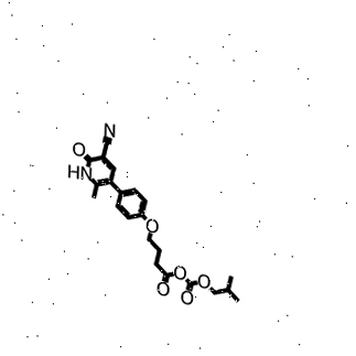 Cc1[nH]c(=O)c(C#N)cc1-c1ccc(OCCCC(=O)OC(=O)OCC(C)C)cc1